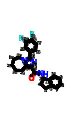 O=C(N[C@H]1CCc2ccccc21)c1nc(-c2ccc(F)c(F)c2)n2c1CCCCC2